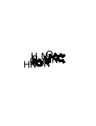 C=C/C=c1/cc(C(=O)c2cnn(-c3ccc4[nH]bnc4c3)c2N)[nH]/c1=C/C=C